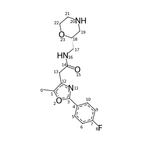 Cc1oc(-c2ccc(F)cc2)nc1CC(=O)NC[C@H]1CNCCO1